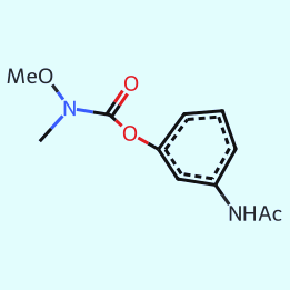 CON(C)C(=O)Oc1cccc(NC(C)=O)c1